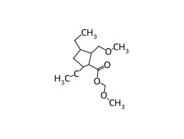 CCC1CC(CC)C(C(=O)OCOC)C1COC